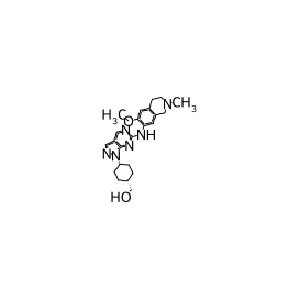 COc1cc2c(cc1Nc1ncc3cnn([C@H]4CC[C@@H](CO)CC4)c3n1)CN(C)CC2